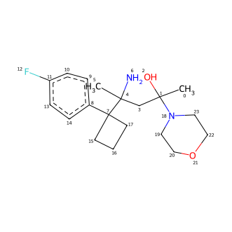 CC(O)(CC(C)(N)C1(c2ccc(F)cc2)CCC1)N1CCOCC1